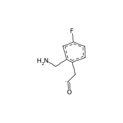 NCc1cc(F)ccc1C[C]=O